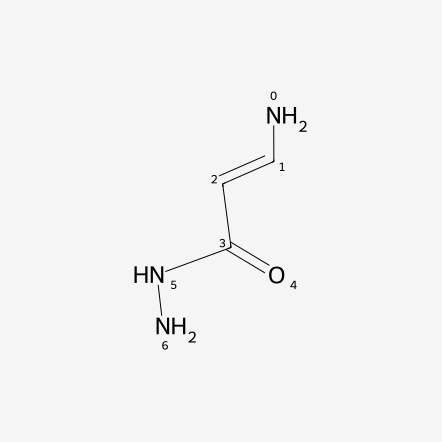 N/C=C/C(=O)NN